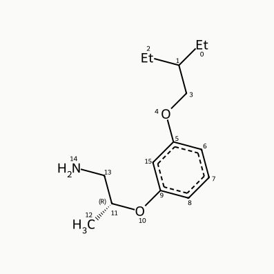 CCC(CC)COc1cccc(O[C@H](C)CN)c1